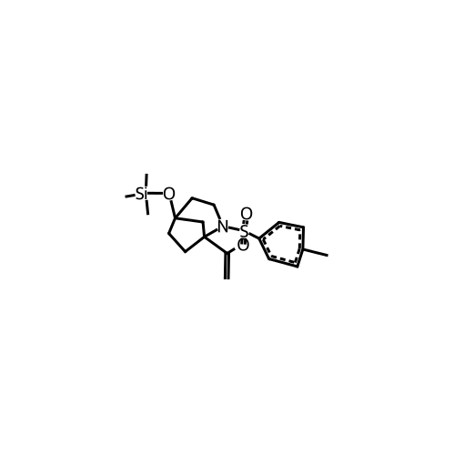 C=C(C)C12CCC(O[Si](C)(C)C)(CCN1S(=O)(=O)c1ccc(C)cc1)C2